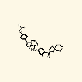 Cc1cc(Nc2nccn3c(-c4ccc(OC(F)F)cc4)cnc23)ccc1C(=O)N1CCC2(CCOCC2)C1